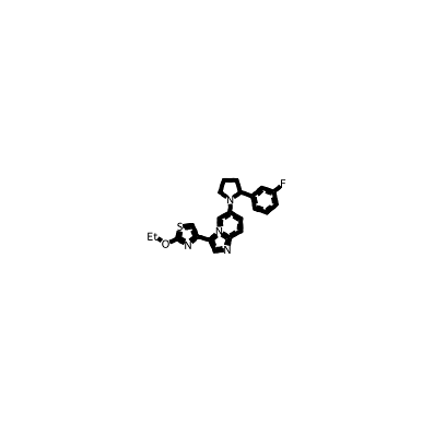 CCOc1nc(-c2cnc3ccc(N4CCCC4c4cccc(F)c4)cn23)cs1